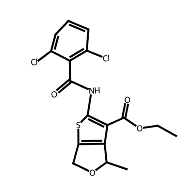 CCOC(=O)c1c(NC(=O)c2c(Cl)cccc2Cl)sc2c1C(C)OC2